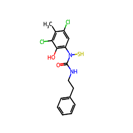 Cc1c(Cl)cc(N(S)C(=O)NCCc2ccccc2)c(O)c1Cl